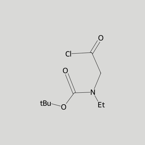 CCN(CC(=O)Cl)C(=O)OC(C)(C)C